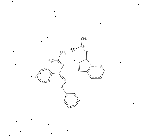 CC(C)=CC(=COc1ccccc1)c1ccccc1.C[SiH](C)[Ti][CH]1C=Cc2ccccc21